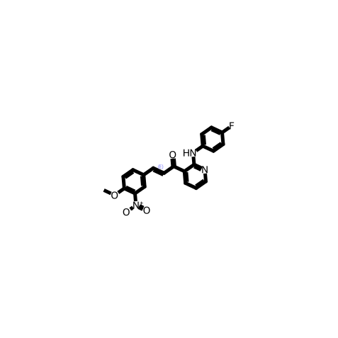 COc1ccc(/C=C/C(=O)c2cccnc2Nc2ccc(F)cc2)cc1[N+](=O)[O-]